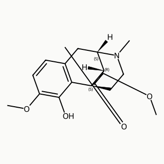 COc1ccc2c(c1O)[C@]13CCN(C)[C@@H](C2)[C@@H]1CC(OC)C(=O)C3